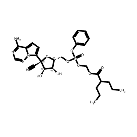 CCCC(CCC)C(=O)OCOP(=O)(OC[C@H]1O[C@@](C#N)(c2ccc3c(N)ncnn23)[C@H](O)[C@@H]1O)Oc1ccccc1